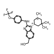 C[C@H]1C[C@@H](n2c(Nc3ccc(OC(F)(F)F)cc3)nc3cc(CO)ccc32)CC(C)(C)C1